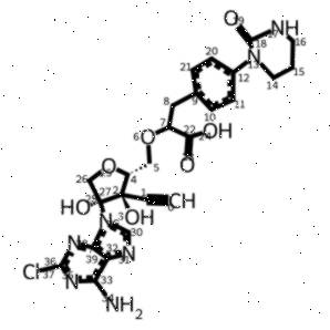 C#C[C@@]1(O)[C@@H](COC(Cc2ccc(N3CCCNC3=O)cc2)C(=O)O)OC[C@]1(O)n1cnc2c(N)nc(Cl)nc21